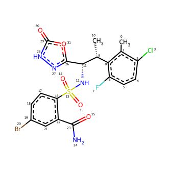 Cc1c(Cl)ccc(F)c1[C@@H](C)[C@H](NS(=O)(=O)c1ccc(Br)cc1C(N)=O)c1n[nH]c(=O)o1